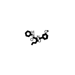 CCCc1oc(-c2cccc(OC)c2)nc1C(=O)NC1CCCCC1